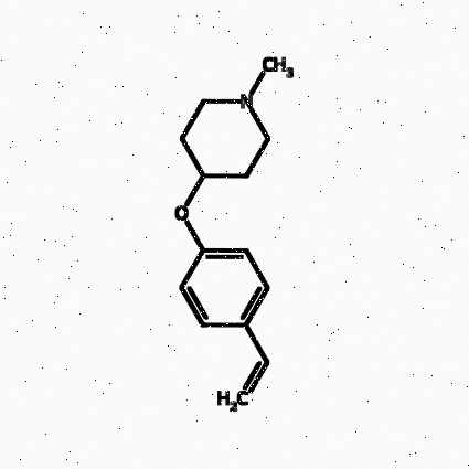 C=Cc1ccc(OC2CCN(C)CC2)cc1